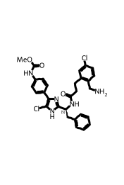 COC(=O)Nc1ccc(-c2nc([C@H](Cc3ccccc3)NC(=O)CCc3cc(Cl)ccc3CN)[nH]c2Cl)cc1